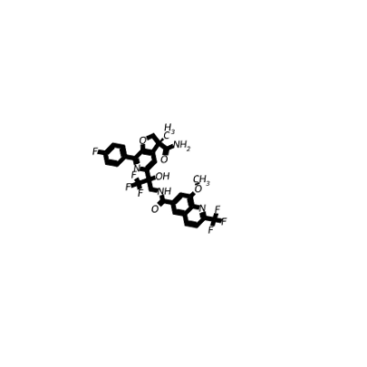 COc1cc(C(=O)NCC(O)(c2cc3c(c(-c4ccc(F)cc4)n2)OC[C@]3(C)C(N)=O)C(F)(F)F)cc2ccc(C(F)(F)F)nc12